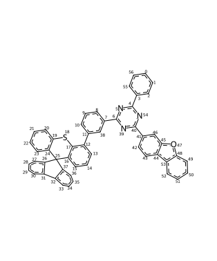 c1ccc(-c2nc(-c3cccc(-c4cccc5c4Sc4ccccc4C54c5ccccc5-c5ccccc54)c3)nc(-c3ccc4c(c3)oc3ccccc34)n2)cc1